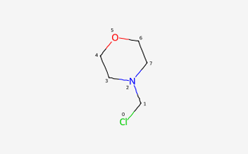 ClCN1CCOCC1